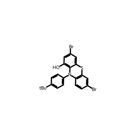 CC(C)(C)c1ccc(N2c3ccc(Br)cc3Sc3cc(Br)cc(O)c32)cc1